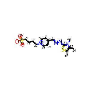 Cc1s/c(=N\N=C\c2cc[n+](CCCCS(=O)(=O)[O-])cc2)n(C)c1C